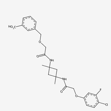 CC1(NC(=O)COCc2cccc(C(=O)O)c2)CC(C)(NC(=O)COc2ccc(Cl)c(F)c2)C1